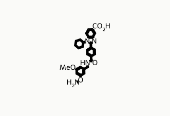 COc1cc(CNC(=O)c2ccc(-c3nc4cc(C(=O)O)ccc4n3C3CCCCC3)cc2)cc(ON)c1